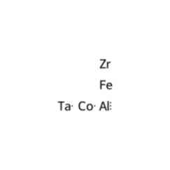 [Al].[Co].[Fe].[Ta].[Zr]